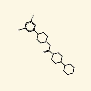 O=C(CN1CCN(c2cc(Cl)cc(Cl)c2)CC1)N1CCN(C2CCCCC2)CC1